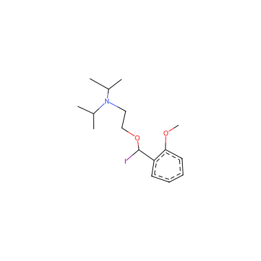 COc1ccccc1C(I)OCCN(C(C)C)C(C)C